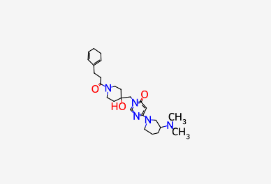 CN(C)C1CCCN(c2cc(=O)n(CC3(O)CCN(C(=O)CCC4=CCCC=C4)CC3)cn2)C1